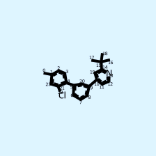 Cc1ccc(-c2cccc(-c3ccnc(C(C)(C)C)c3)c2)c(Cl)c1